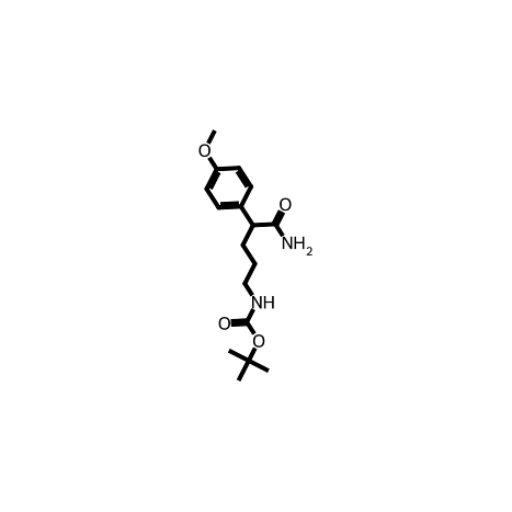 COc1ccc(C(CCCNC(=O)OC(C)(C)C)C(N)=O)cc1